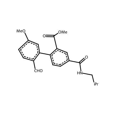 COC(=O)c1cc(C(=O)NCC(C)C)ccc1-c1cc(OC)ccc1C=O